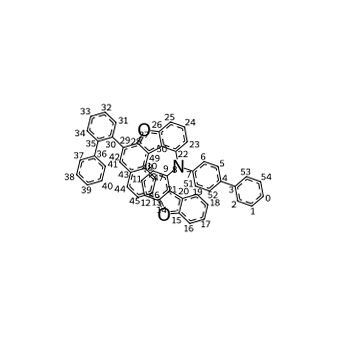 c1ccc(-c2ccc(N(c3cccc4oc5ccccc5c34)c3cccc4oc5c(-c6ccccc6-c6ccccc6)cc6ccccc6c5c34)cc2)cc1